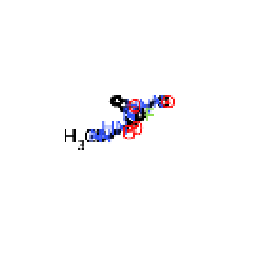 CN1CCN(CCCNC(=O)c2cn3c4c(c(NCCN5CCOCC5)c(F)cc4c2=O)Oc2cc4ccccc4cc2-3)CC1